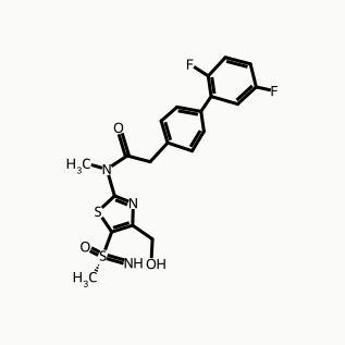 CN(C(=O)Cc1ccc(-c2cc(F)ccc2F)cc1)c1nc(CO)c([S@@](C)(=N)=O)s1